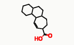 O=C(O)C1C=CC2C(CC1)CCC1CCCCC12